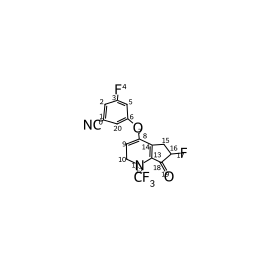 N#Cc1cc(F)cc(OC2=CCN(C(F)(F)F)C3=C2CC(F)C3=O)c1